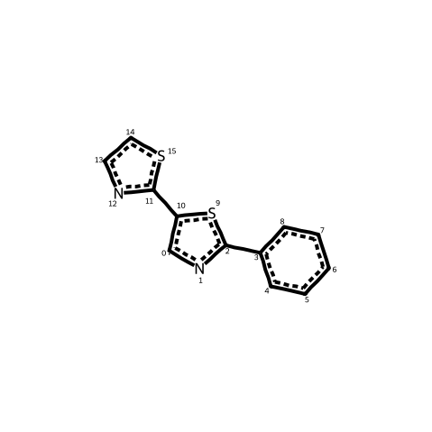 [c]1nc(-c2ccccc2)sc1-c1nccs1